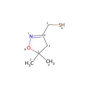 CC1(C)CC(CS)=NO1